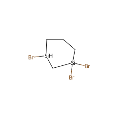 Br[SiH]1CCC[Si](Br)(Br)C1